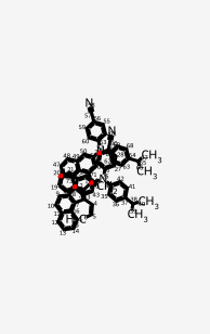 C=C1C2=C(/C=C\C)c3c(ccc4ccccc34)C23c2c(ccc4cc(N(c5ccc(C#N)cc5)c5ccc(C(C)C)cc5)ccc24)-c2ccc4cc(N(c5ccc(C#N)cc5)c5ccc(C(C)C)cc5)cc1c4c23